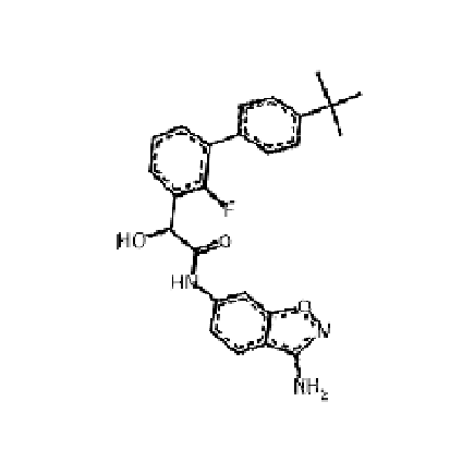 CC(C)(C)c1ccc(-c2cccc(C(O)C(=O)Nc3ccc4c(N)noc4c3)c2F)cc1